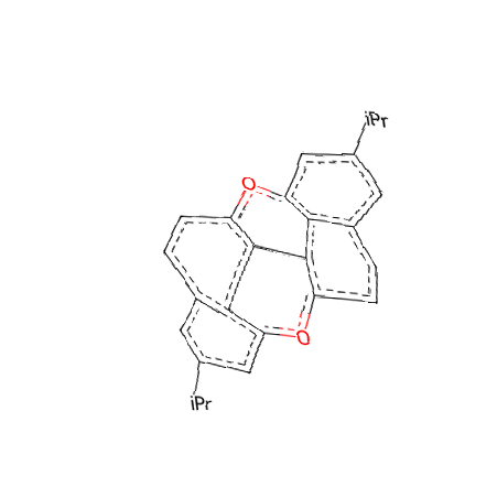 CC(C)c1cc2ccc3oc4cc(C(C)C)cc5ccc6oc(c1)c2c3-c6c54